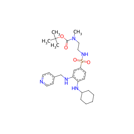 CN(CCNS(=O)(=O)c1ccc(NC2CCCCC2)c(NCc2ccncc2)c1)C(=O)OC(C)(C)C